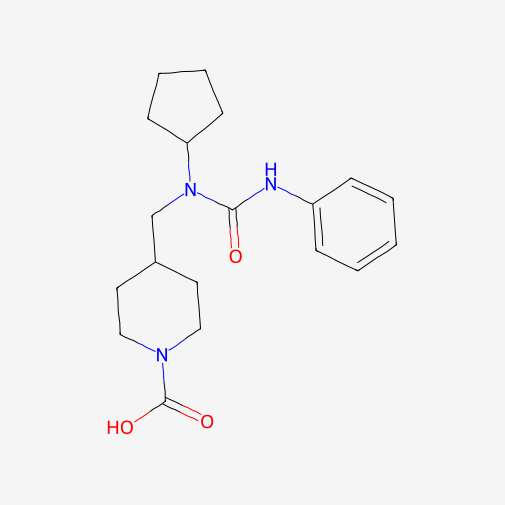 O=C(O)N1CCC(CN(C(=O)Nc2ccccc2)C2CCCC2)CC1